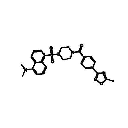 Cc1nc(-c2ccc(C(=O)N3CCN(S(=O)(=O)c4cccc5c(N(C)C)cccc45)CC3)cc2)no1